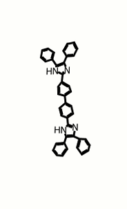 c1ccc(-c2nc(-c3ccc(-c4ccc(-c5nc(-c6ccccc6)c(-c6ccccc6)[nH]5)cc4)cc3)[nH]c2-c2ccccc2)cc1